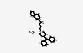 Cl.O=C(CCCN1CCC(=C(c2ccccc2)c2ccccc2)CC1)c1ccc2ccccc2c1